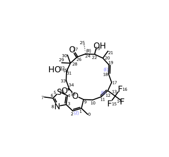 C/C(=C/c1csc(C)n1)C1C/C=C(/C(F)(F)F)C/C=C/C(C)C(O)[C@@H](C)C(=O)C(C)(C)[C@@H](O)CC(=O)O1